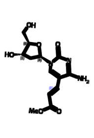 COC(=O)/C=C/c1cn([C@H]2C[C@H](O)[C@@H](CO)O2)c(=O)nc1N